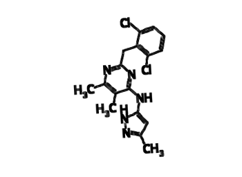 Cc1cc(Nc2nc(Cc3c(Cl)cccc3Cl)nc(C)c2C)[nH]n1